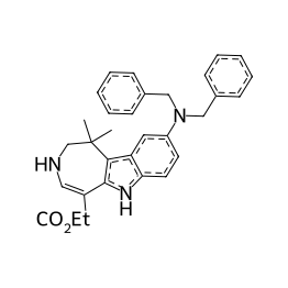 CCOC(=O)C1=CNCC(C)(C)c2c1[nH]c1ccc(N(Cc3ccccc3)Cc3ccccc3)cc21